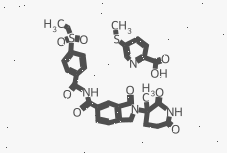 CCS(=O)(=O)c1ccc(C(=O)NC(=O)c2ccc3c(c2)C(=O)N(C2(C)CCC(=O)NC2=O)C3)cc1.CSc1ccc(C(=O)O)nc1